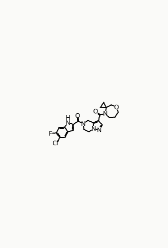 O=C(c1cc2cc(Cl)c(F)cc2[nH]1)N1CCn2ncc(C(=O)N3CCCOCC34CC4)c2C1